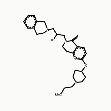 COCCN1CCC(Oc2ccc3c(n2)CCN(CC(O)CN2CCc4ccccc4C2)C3=O)CC1